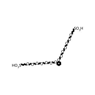 O=S(=O)(O)CCCCOCCOCCOCCOCCOCCOCCOc1ccccc1OCCOCCOCCOCCOCCOCCOCCCCS(=O)(=O)O